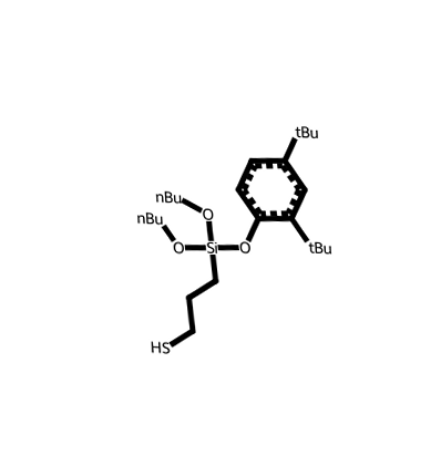 CCCCO[Si](CCCS)(OCCCC)Oc1ccc(C(C)(C)C)cc1C(C)(C)C